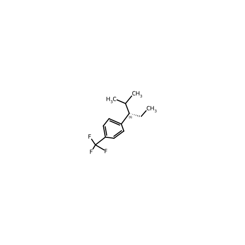 CC[C@H](c1ccc(C(F)(F)F)cc1)C(C)C